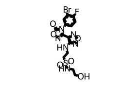 O=c1onc(-c2nonc2NCCS(=O)(=O)NCCO)n1-c1ccc(F)c(Br)c1